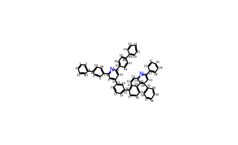 c1ccc(-c2ccc(-c3cc(-c4cccc(-c5cccc6c5ccc5nc(-c7ccccc7)cc(-c7ccccc7)c56)c4)cc(-c4ccc(-c5ccccc5)cc4)n3)cc2)cc1